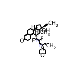 C=C/C(=C\C(F)=C(/F)[C@H]1C[C@@]2(C)[C@@H](CC[C@@]2(O)C#CC)[C@@H]2CCC3=CC(=O)CCC3=C21)N1CCOCC1